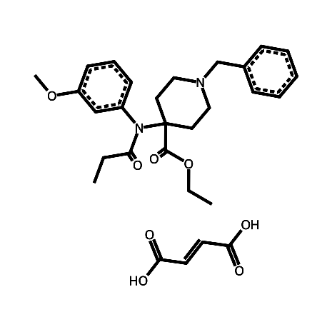 CCOC(=O)C1(N(C(=O)CC)c2cccc(OC)c2)CCN(Cc2ccccc2)CC1.O=C(O)C=CC(=O)O